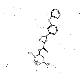 CC(C)C[C@H](NC(=O)C1CC(c2cccc(Oc3ccccc3)c2)=NO1)B(O)O